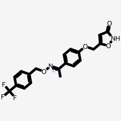 C/C(=N\OCc1ccc(C(F)(F)F)cc1)c1ccc(OCc2cc(=O)[nH]o2)cc1